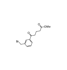 COC(=O)CCCC(=O)c1cccc(CBr)c1